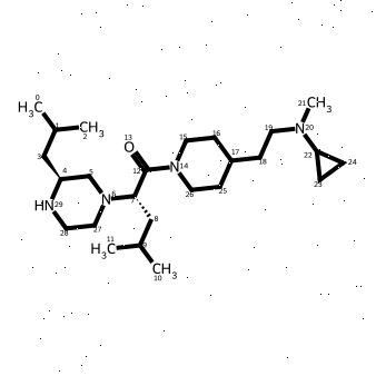 CC(C)C[C@H]1CN([C@@H](CC(C)C)C(=O)N2CCC(CCN(C)C3CC3)CC2)CCN1